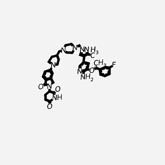 Cc1nn(CN2CCN(CC3CCN(c4ccc5c(c4)CN(C4CCC(=O)NC4=O)C5=O)CC3)CC2)cc1-c1cnc(N)c(O[C@H](C)c2cccc(F)c2)c1